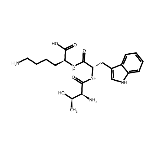 C[C@@H](O)[C@H](N)C(=O)N[C@@H](Cc1c[nH]c2ccccc12)C(=O)N[C@@H](CCCCN)C(=O)O